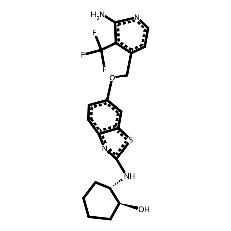 Nc1nccc(COc2ccc3nc(N[C@H]4CCCC[C@@H]4O)sc3c2)c1C(F)(F)F